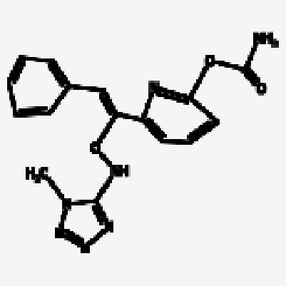 Cn1nnnc1NOC(=Cc1ccccc1)c1cccc(OC(N)=O)n1